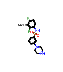 COc1c(F)ccc(NS(=O)(=O)c2cccc(N3CCNCC3)c2)c1F